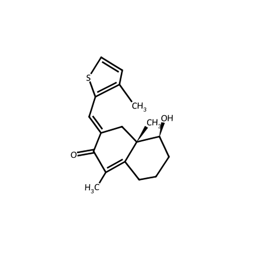 CC1=C2CCC[C@H](O)[C@@]2(C)CC(=Cc2sccc2C)C1=O